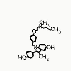 CCCCN(C)CCOc1ccc(Cn2c(-c3ccc(O)cc3)c(C)c3cc(O)ccc32)cc1